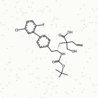 C=CCC(CO)(C[C@@H](Cc1ccc(-c2cc(Cl)ccc2F)cc1)NC(=O)OC(C)(C)C)C(=O)O